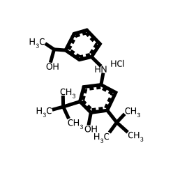 CC(O)c1cccc(Nc2cc(C(C)(C)C)c(O)c(C(C)(C)C)c2)c1.Cl